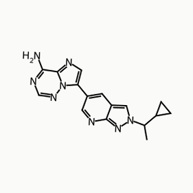 CC(C1CC1)n1cc2cc(-c3cnc4c(N)ncnn34)cnc2n1